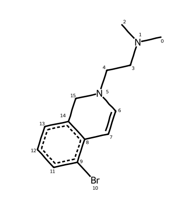 CN(C)CCN1C=Cc2c(Br)cccc2C1